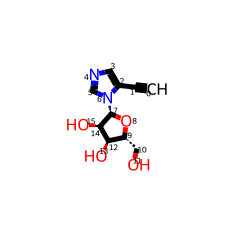 C#Cc1cncn1[C@@H]1O[C@H](CO)[C@@H](O)[C@H]1O